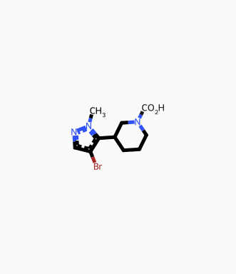 Cn1ncc(Br)c1C1CCCN(C(=O)O)C1